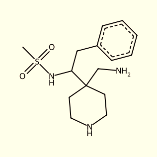 CS(=O)(=O)NC(Cc1ccccc1)C1(CN)CCNCC1